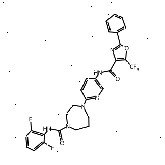 O=C(Nc1ccc(N2CCCN(C(=O)Nc3c(F)cccc3F)CC2)nc1)c1nc(-c2ccccc2)oc1C(F)(F)F